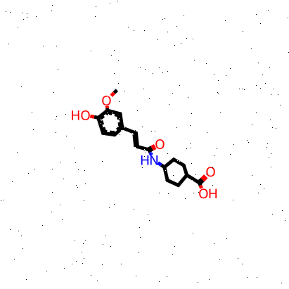 COc1cc(/C=C/C(=O)NC2CCC(C(=O)O)CC2)ccc1O